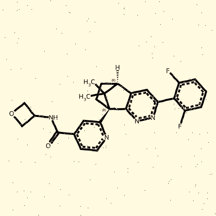 CC1(C)[C@H]2CC[C@@]1(c1cc(C(=O)NC3COC3)ccn1)c1nnc(-c3c(F)cccc3F)cc12